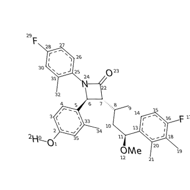 [2H]Oc1ccc([C@@H]2[C@@H](C(C)C[C@H](OC)c3ccc(F)c(C)c3C)C(=O)N2c2ccc(F)cc2C)c(C)c1